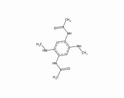 CNc1cc(NC(C)=O)c(NC)cc1NC(C)=O